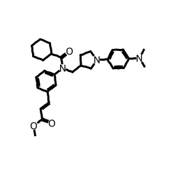 COC(=O)/C=C/c1cccc(N(CC2CCN(c3ccc(N(C)C)cc3)C2)C(=O)C2CCCCC2)c1